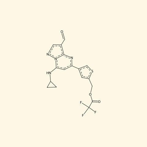 O=Cc1cnn2c(NC3CC3)cc(-c3csc(COC(=O)C(F)(F)F)c3)nc12